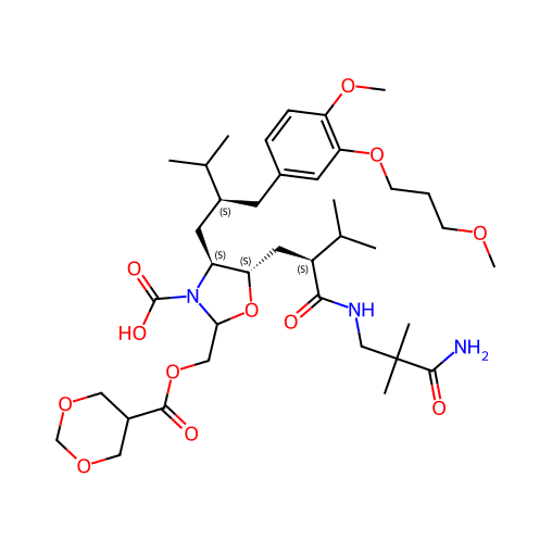 COCCCOc1cc(C[C@@H](C[C@H]2[C@H](C[C@H](C(=O)NCC(C)(C)C(N)=O)C(C)C)OC(COC(=O)C3COCOC3)N2C(=O)O)C(C)C)ccc1OC